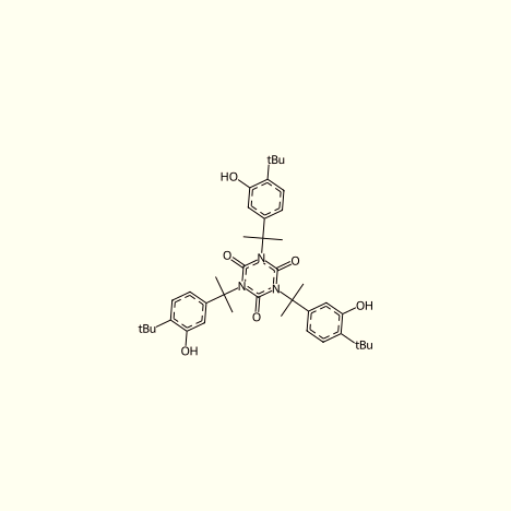 CC(C)(C)c1ccc(C(C)(C)n2c(=O)n(C(C)(C)c3ccc(C(C)(C)C)c(O)c3)c(=O)n(C(C)(C)c3ccc(C(C)(C)C)c(O)c3)c2=O)cc1O